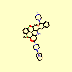 COC(=O)C1=C(CCc2ccccc2C(=O)N2CCNCC2)NC(CC(=O)N2CCN(C3CC4CCC(C3)N4C)CC2)=C(C(=O)OC)C1c1c(Cl)cccc1Cl